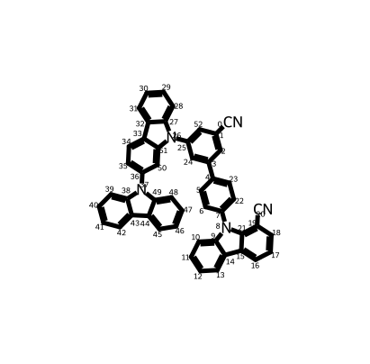 N#Cc1cc(-c2ccc(-n3c4ccccc4c4cccc(C#N)c43)cc2)cc(-n2c3ccccc3c3ccc(-n4c5ccccc5c5ccccc54)cc32)c1